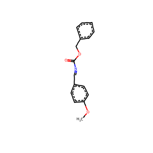 COc1ccc(/C=N/C(=O)OCc2ccccc2)cc1